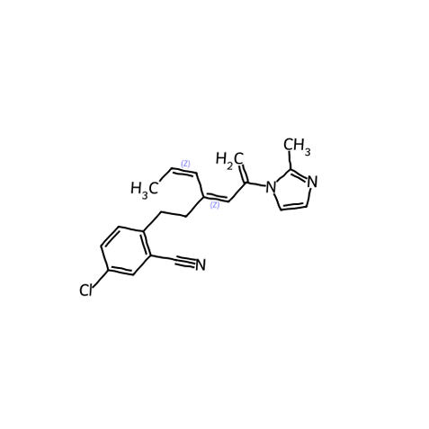 C=C(/C=C(\C=C/C)CCc1ccc(Cl)cc1C#N)n1ccnc1C